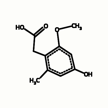 COc1cc(O)cc(C)c1CC(=O)O